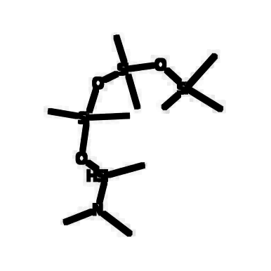 CN(C)[SiH](C)O[Si](C)(C)O[Si](C)(C)O[Si](C)(C)C